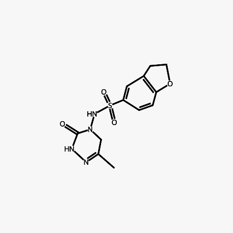 CC1=NNC(=O)N(NS(=O)(=O)c2ccc3c(c2)CCO3)C1